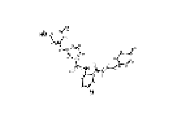 O=C(Nc1ccc(Cl)cc1C(=O)NN=Cc1ccc(F)cc1)c1cccc(CN(CCO)CCO)c1